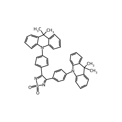 CC1(C)c2ccccc2N(c2ccc(C3=NS(=O)(=O)N=C3c3ccc(N4c5ccccc5C(C)(C)c5ccccc54)cc3)cc2)c2ccccc21